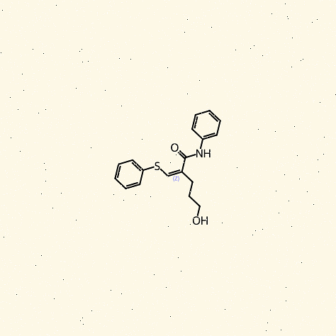 O=C(Nc1ccccc1)/C(=C\Sc1ccccc1)CCCO